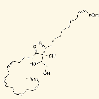 CCCCC/C=C\C/C=C\C/C=C\C/C=C\CCCC(=O)C(O)(C(=O)CCCCCCC/C=C\CCCCCCCC)C(O)CO